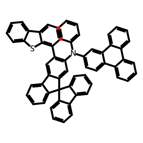 c1ccc(N(c2ccc3c4ccccc4c4ccccc4c3c2)c2cc3c(cc2-c2cccc4c2sc2ccccc24)-c2ccccc2C32c3ccccc3-c3ccccc32)cc1